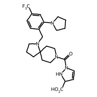 O=C(O)C1C=CN(C(=O)N2CCC3(CCCN3Cc3ccc(C(F)(F)F)cc3N3CCCC3)CC2)N1